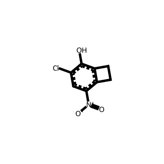 O=[N+]([O-])c1cc(Cl)c(O)c2c1CC2